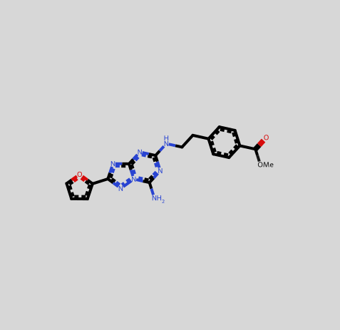 COC(=O)c1ccc(CCNc2nc(N)n3nc(-c4ccco4)nc3n2)cc1